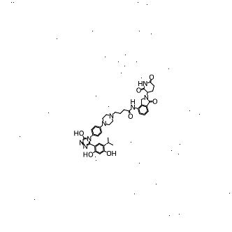 CC(C)c1cc(-c2nnc(O)n2-c2ccc(N3CCN(CCCC(=O)Nc4cccc5c4CN(C4CCC(=O)NC4=O)C5=O)CC3)cc2)c(O)cc1O